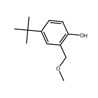 COCc1cc(C(C)(C)C)ccc1O